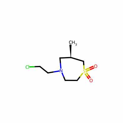 C[C@@H]1CN(CCCl)CCS(=O)(=O)C1